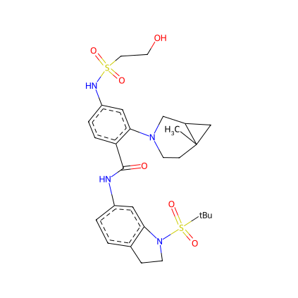 CC12CCN(c3cc(NS(=O)(=O)CCO)ccc3C(=O)Nc3ccc4c(c3)N(S(=O)(=O)C(C)(C)C)CC4)CC1C2